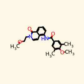 COCCn1ccc2c(NC(=O)c3cc(C)c(OC)c(C)c3)cccc2c1=O